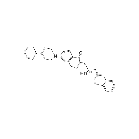 O=C1c2ccc(N3CCC(N4CCCCC4)CC3)cc2CCN1C[C@H](O)CN1CCc2ccccc2C1